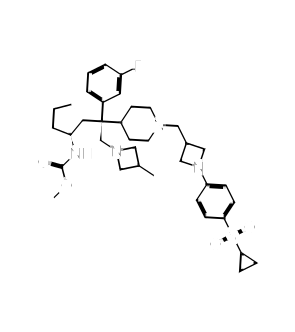 COC(=O)N[C@H]1CCC[C@@H]1[C@](CN1CC(C)C1)(c1cccc(F)c1)C1CCN(CC2CN(c3ccc(S(=O)(=O)C4CC4)cc3)C2)CC1